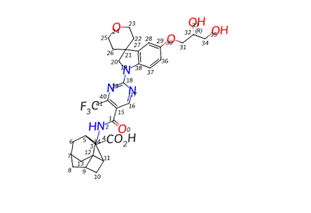 O=C(NC1(C(=O)O)C2CC3CC4CC1C4(C3)C2)c1cnc(N2CC3(CCOCC3)c3cc(OC[C@H](O)CO)ccc32)nc1C(F)(F)F